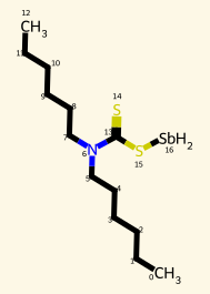 CCCCCCN(CCCCCC)C(=S)[S][SbH2]